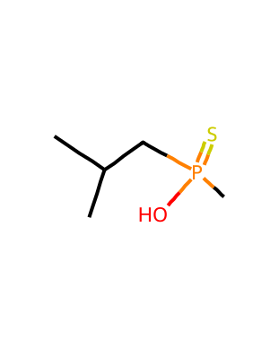 CC(C)CP(C)(O)=S